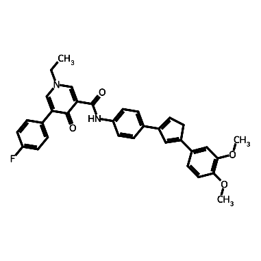 CCn1cc(C(=O)Nc2ccc(C3=CCC(c4ccc(OC)c(OC)c4)=C3)cc2)c(=O)c(-c2ccc(F)cc2)c1